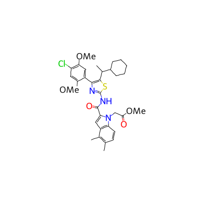 COC(=O)Cn1c(C(=O)Nc2nc(-c3cc(OC)c(Cl)cc3OC)c(C(C)C3CCCCC3)s2)cc2c(C)c(C)ccc21